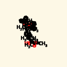 C=C1/C(=C/C=C2\CCC[C@]3(C)[C@@H](C(C)(C)/C=C/C(O)C(C)(C)C(=O)OCCC)CC[C@@H]23)C[C@@H](O[Si](c2ccccc2)(c2ccccc2)C(C)(C)C)C[C@@H]1O[Si](c1ccccc1)(c1ccccc1)C(C)(C)C